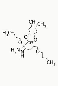 CCCCOCC1CC(NN)[C@H](OCCCC)C(OCCCC)[C@@H]1OCCCC